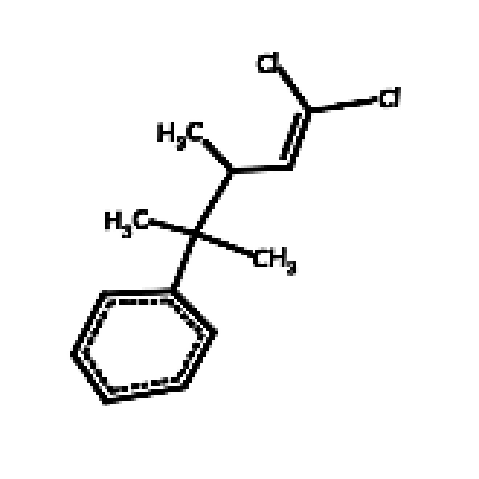 CC(C=C(Cl)Cl)C(C)(C)c1ccccc1